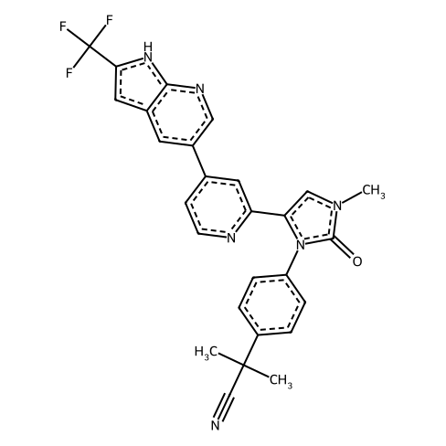 Cn1cc(-c2cc(-c3cnc4[nH]c(C(F)(F)F)cc4c3)ccn2)n(-c2ccc(C(C)(C)C#N)cc2)c1=O